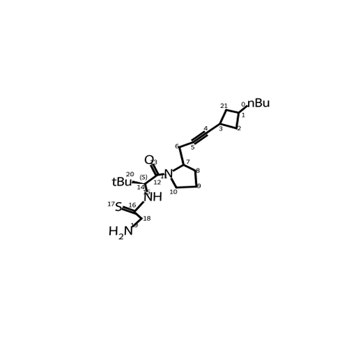 CCCCC1CC(C#CCC2CCCN2C(=O)[C@@H](NC(=S)CN)C(C)(C)C)C1